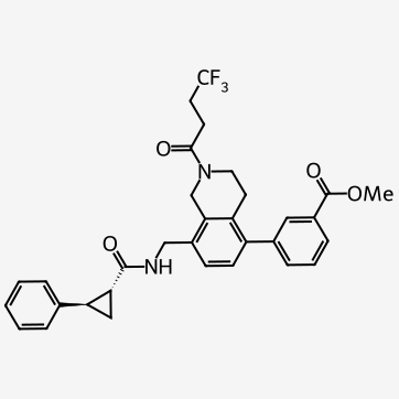 COC(=O)c1cccc(-c2ccc(CNC(=O)[C@@H]3C[C@H]3c3ccccc3)c3c2CCN(C(=O)CCC(F)(F)F)C3)c1